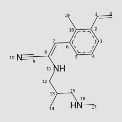 C=Cc1cccc(/C=C(/C#N)NCC(C)CNC)c1C